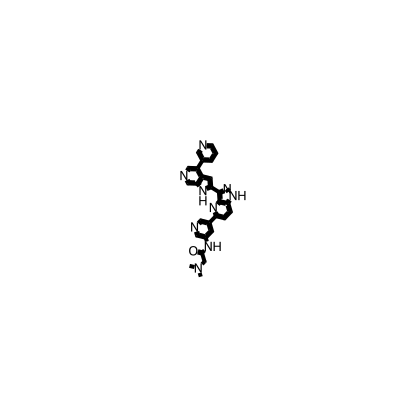 CN(C)CC(=O)Nc1cncc(-c2ccc3[nH]nc(-c4cc5c(-c6cccnc6)cncc5[nH]4)c3n2)c1